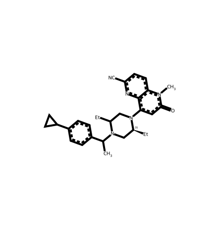 CCC1CN(c2cc(=O)n(C)c3ccc(C#N)nc23)[C@@H](CC)CN1C(C)c1ccc(C2CC2)cc1